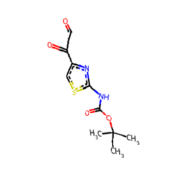 CC(C)(C)OC(=O)Nc1nc(C(=O)C=O)cs1